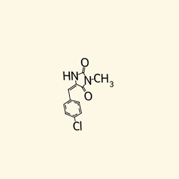 CN1C(=O)NC(=Cc2ccc(Cl)cc2)C1=O